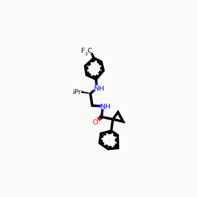 CC(C)[C@H](CNC(=O)C1(c2ccccc2)CC1)Nc1ccc(C(F)(F)F)cc1